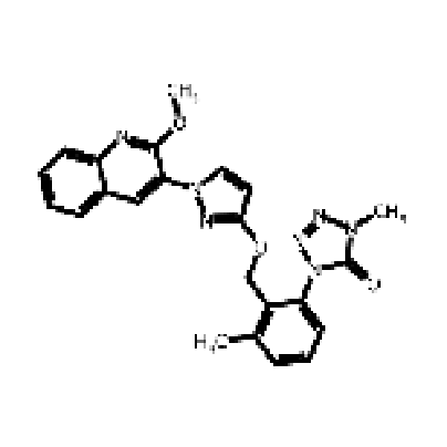 COc1nc2ccccc2cc1-n1ccc(OCc2c(C)cccc2-n2nnn(C)c2=O)n1